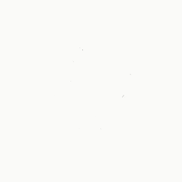 CC(=O)OC(Cc1cccc(Cl)c1)C(C)c1c[nH]c2ccc(Cl)cc12